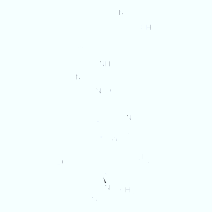 C=CC(=O)N1CCCC[C@@H](n2c(NC(=O)c3ccnc(C)c3)nc3cccc(O[C@@H]4CC[C@@H](N(C)C(C)=O)CC(CC)C4)c32)C1